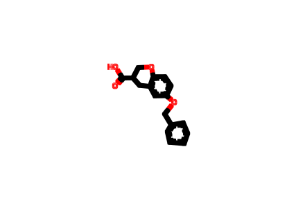 O=C(O)C1COc2ccc(OCc3ccccc3)cc2C1